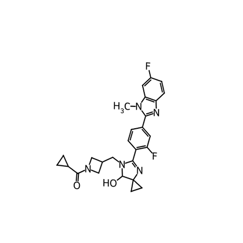 Cn1c(-c2ccc(C3=NC4(CC4)C(O)N3CC3CN(C(=O)C4CC4)C3)c(F)c2)nc2ccc(F)cc21